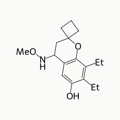 CCc1c(O)cc2c(c1CC)OC1(CCC1)CC2NOC